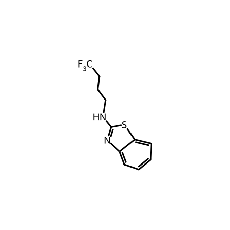 FC(F)(F)CCCNc1nc2ccccc2s1